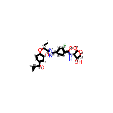 CC[C@@H](Oc1ccc(C(=O)C2CC2)cc1)c1nc(-c2ccc(C(=O)N[C@@H]3C(=O)OC[C@@H]3O)c(F)c2)no1